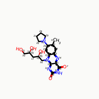 Cc1cc2nc3c(=O)[nH]c(=O)nc-3n(C[C@H](O)C[C@H](O)CO)c2cc1N1CCCC1